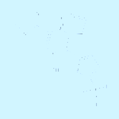 CO/C=C(/C(=O)OC)c1ccccc1Oc1ncc(C(F)(F)F)s1